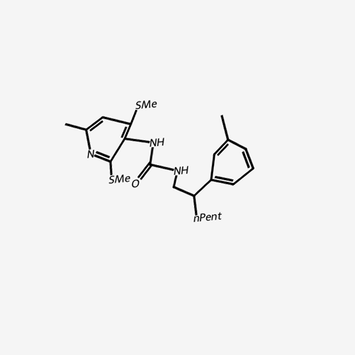 CCCCCC(CNC(=O)Nc1c(SC)cc(C)nc1SC)c1cccc(C)c1